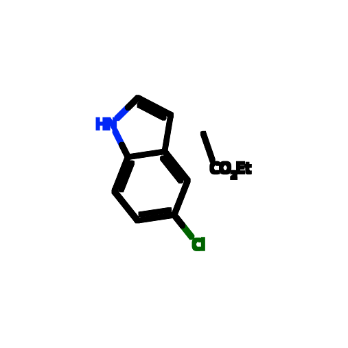 CCOC(C)=O.Clc1ccc2[nH]ccc2c1